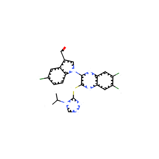 CC(C)n1cnnc1Sc1nc2cc(Cl)c(Cl)cc2nc1-n1cc(C=O)c2cc(Cl)ccc21